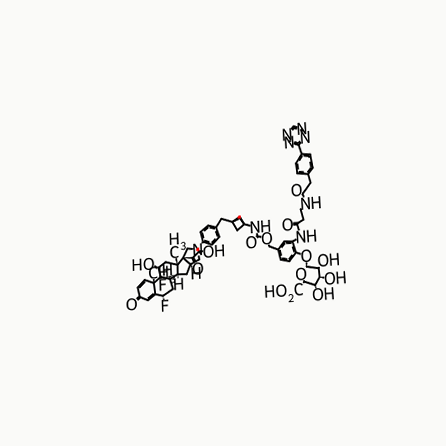 C[C@]12C=CC(=O)C=C1[C@@H](F)C[C@H]1[C@@H]3C[C@H]4CN(c5ccc(CC67CC(NC(=O)OCc8ccc(O[C@@H]9O[C@H](C(=O)O)[C@@H](O)[C@H](O)[C@H]9O)c(NC(=O)CCNC(=O)Cc9ccc(-c%10nncnn%10)cc9)c8)(C6)C7)cc5)C[C@@]4(C(=O)CO)[C@@]3(C)C[C@H](O)[C@@]12F